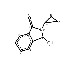 O=C1c2ccccc2C(O)N1C1CC1